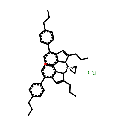 CCCC1=Cc2c(-c3ccc(CCC)cc3)cccc2[CH]1[Zr+2]1([CH]2C(CCC)=Cc3c(-c4ccc(CCC)cc4)cccc32)[CH2][CH2]1.[Cl-].[Cl-]